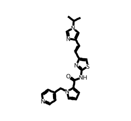 CC(C)n1cnc(C=Cc2csc(NC(=O)c3cccn3Cc3ccncc3)n2)c1